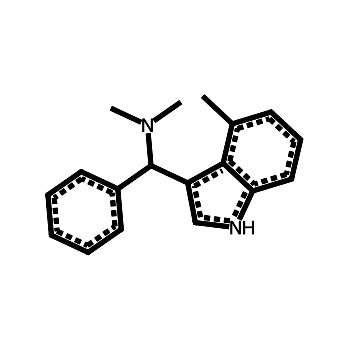 Cc1cccc2[nH]cc(C(c3ccccc3)N(C)C)c12